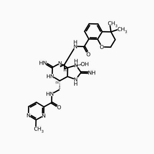 Cc1nccc(C(=O)NC[C@@H]2NC(=N)N3CC(NC(=O)c4cccc5c4OCCC5(C)C)[C@@H](O)C34NC(=N)NC24)n1